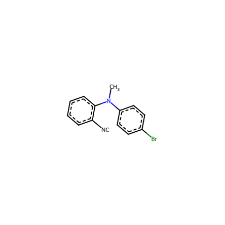 [C-]#[N+]c1ccccc1N(C)c1ccc(Br)cc1